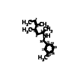 C=C(/C=C(C)\C(C)=C/C)NCc1cccc(C)c1